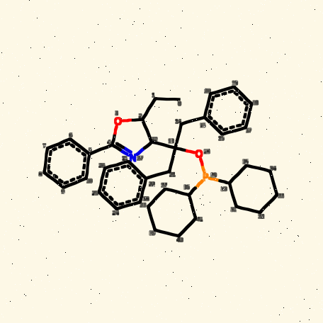 CCC1OC(c2ccccc2)=NC1C(Cc1ccccc1)(Cc1ccccc1)OP(C1CCCCC1)C1CCCCC1